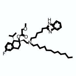 CCCCCCCCCCCCN(CCCCCc1nc2ccccc2[nH]1)CC[C@@]1(OC(=O)COC)CCc2cc(F)ccc2[C@@H]1C(C)C